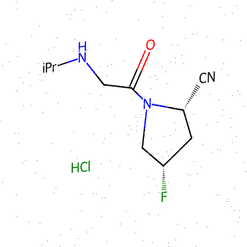 CC(C)NCC(=O)N1C[C@@H](F)C[C@H]1C#N.Cl